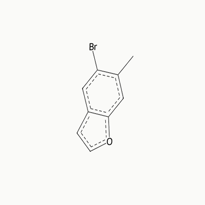 Cc1cc2occc2cc1Br